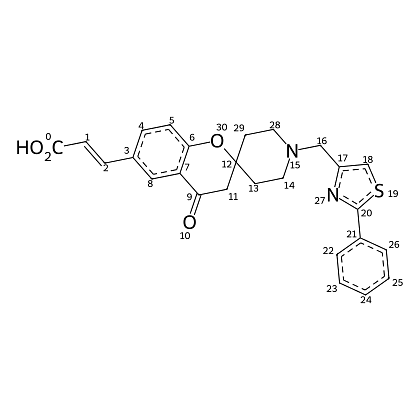 O=C(O)C=Cc1ccc2c(c1)C(=O)CC1(CCN(Cc3csc(-c4ccccc4)n3)CC1)O2